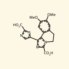 COc1cc2c(cc1OC)-c1c(-c3cnc(C(=O)O)s3)nc(C(=O)O)n1CC2